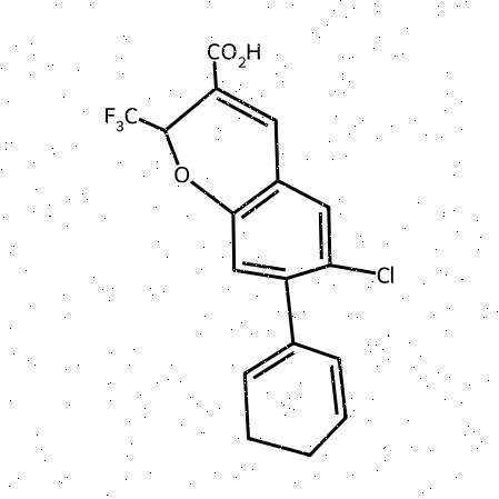 O=C(O)C1=Cc2cc(Cl)c(C3=CCCC=C3)cc2OC1C(F)(F)F